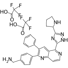 NCc1ccc(-c2nc3ccnc(-c4nc(C5CCCN5)n[nH]4)c3cc2-c2ccccc2)cc1.O=C(O)C(F)(F)F.O=C(O)C(F)(F)F